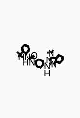 CN(C)c1nc(N[C@H]2CC[C@@H](NC(=O)Nc3ccccc3C(C)(C)C)CC2)nc2ccccc12